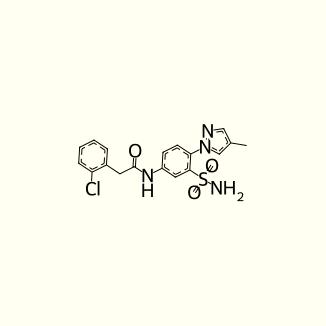 Cc1cnn(-c2ccc(NC(=O)Cc3ccccc3Cl)cc2S(N)(=O)=O)c1